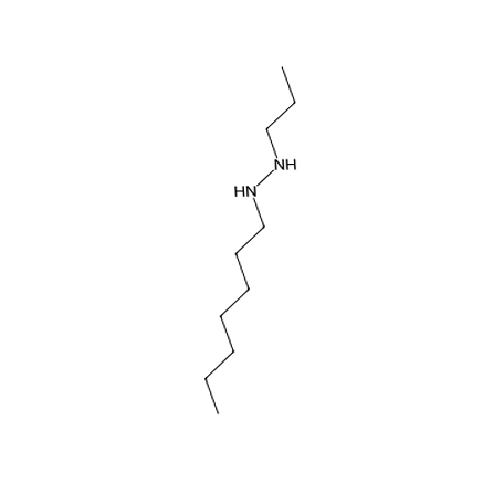 CCCCCCCNNCCC